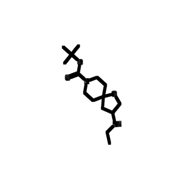 CCNC1COC2(CCN(C(=O)OC(C)(C)C)CC2)C1